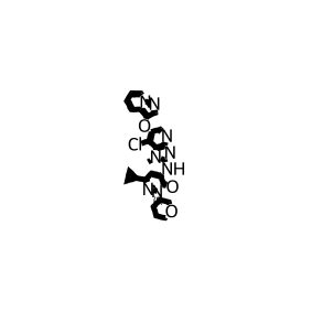 Cn1c(Nc2cc(C3CC3)nn([C@H]3CCCOC3)c2=O)nc2ncc(Oc3cnn4ccccc34)c(Cl)c21